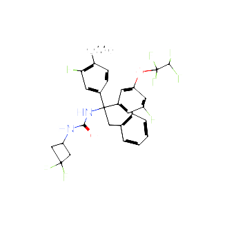 COc1ccc(C(Cc2ccccc2)(NC(=O)NC2CC(F)(F)C2)c2cc(F)cc(OC(F)(F)C(F)F)c2)cc1F